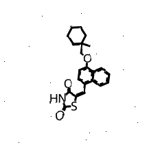 CC1(COc2ccc(C=C3SC(=O)NC3=O)c3ccccc23)CCCCC1